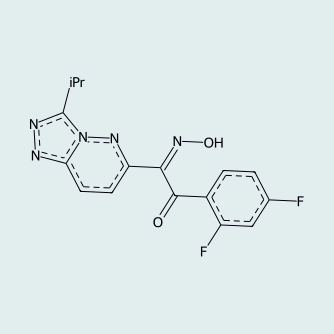 CC(C)c1nnc2ccc(C(=NO)C(=O)c3ccc(F)cc3F)nn12